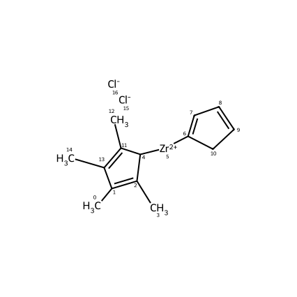 CC1=C(C)[CH]([Zr+2][C]2=CC=CC2)C(C)=C1C.[Cl-].[Cl-]